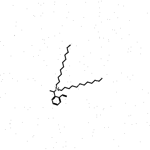 C=Cc1ccccc1C(C)N(CCCCCCCCCCCC)CCCCCCCCCCCC